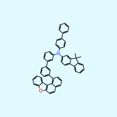 CC1(C)c2ccccc2-c2ccc(N(c3ccc(-c4ccccc4)cc3)c3cccc(-c4cccc(-c5cccc6ccc7oc8ccccc8c7c56)c4)c3)cc21